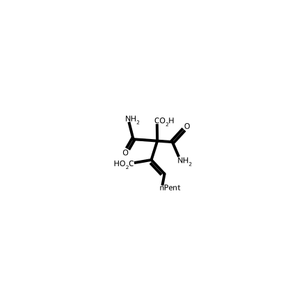 CCCCCC=C(C(=O)O)C(C(N)=O)(C(N)=O)C(=O)O